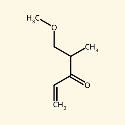 C=CC(=O)C(C)COC